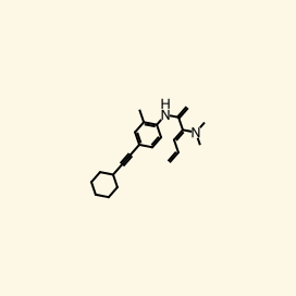 C=C/C=C(/C(=C)Nc1ccc(C#CC2CCCCC2)cc1C)N(C)C